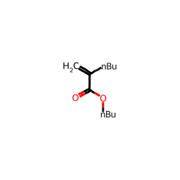 C=C(CCCC)C(=O)OCCCC